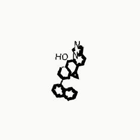 O[C@@H](c1c(C2CC2)ccc2cncn12)[C@H]1CC[C@H](c2cccc3ccccc32)CC1